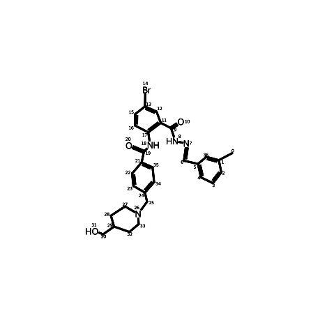 Cc1cccc(C=NNC(=O)c2cc(Br)ccc2NC(=O)c2ccc(CN3CCC(CO)CC3)cc2)c1